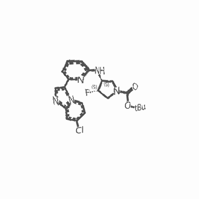 CC(C)(C)OC(=O)N1C[C@H](Nc2cccc(-c3cnc4cc(Cl)ccn34)n2)[C@@H](F)C1